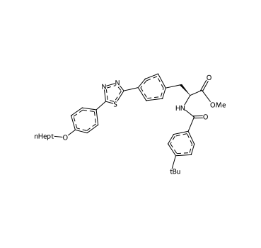 CCCCCCCOc1ccc(-c2nnc(-c3ccc(C[C@H](NC(=O)c4ccc(C(C)(C)C)cc4)C(=O)OC)cc3)s2)cc1